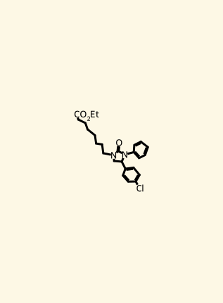 CCOC(=O)CCCCCCCN1CC(c2ccc(Cl)cc2)N(c2ccccc2)C1=O